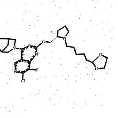 Fc1c(Cl)ncc2c(N3CC4CCC(C4)C3)nc(OC[C@@H]3CCCN3CCCCCC3OCCO3)nc12